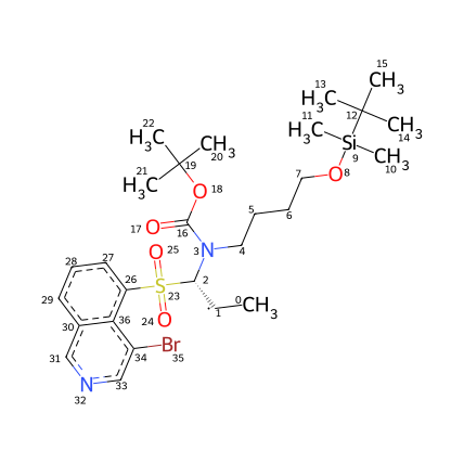 C[CH][C@@H](N(CCCCO[Si](C)(C)C(C)(C)C)C(=O)OC(C)(C)C)S(=O)(=O)c1cccc2cncc(Br)c12